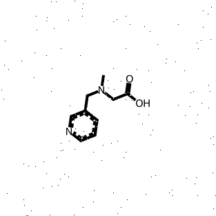 CN(CC(=O)O)Cc1cccnc1